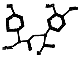 CCCCCN(C(=O)CN(C(=O)CC)c1ccc(OC)c(OC)c1)c1ccc(O)cc1